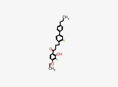 CCCc1ccc(-c2ccc(CCCC(=O)c3ccc(OCC)c(F)c3O)c(F)c2)cc1